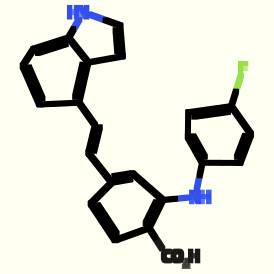 O=C(O)c1ccc(/C=C/c2cccc3[nH]ccc23)cc1Nc1ccc(F)cc1